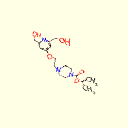 C=C(C)OC(=O)N1CCN(CCOc2cc(CO)nc(CO)c2)CC1